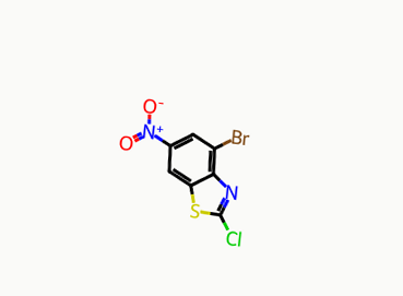 O=[N+]([O-])c1cc(Br)c2nc(Cl)sc2c1